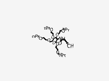 C#CCC(=O)NC1C(OCCOCCC)OC(COCCOCCC)C(OCCOCCC)C1OCCOCCC